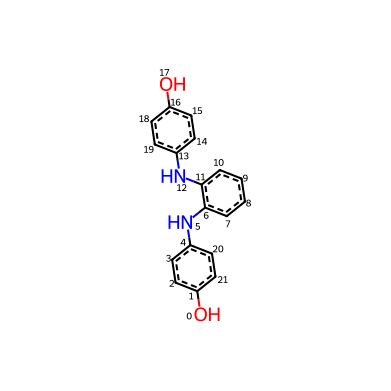 Oc1ccc(Nc2ccccc2Nc2ccc(O)cc2)cc1